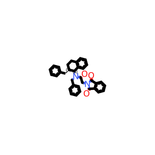 O=C1c2ccccc2C(=O)N1CC(=O)N(Cc1ccccc1)[C@@H]1c2ccccc2CC[C@H]1Cc1ccccc1